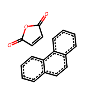 O=C1C=CC(=O)O1.c1ccc2c(c1)ccc1ccccc12